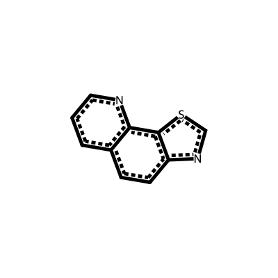 c1cnc2c(c1)ccc1ncsc12